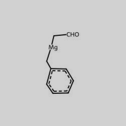 O=C[CH2][Mg][CH2]c1ccccc1